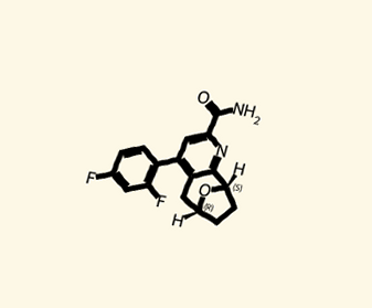 NC(=O)c1cc(-c2ccc(F)cc2F)c2c(n1)[C@@H]1CC[C@H](C2)O1